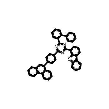 c1ccc(-c2ccccc2-c2nc(-c3ccc(-c4cc5ccccc5c5ccccc45)cc3)nc(-c3cccc4c3sc3ccccc34)n2)cc1